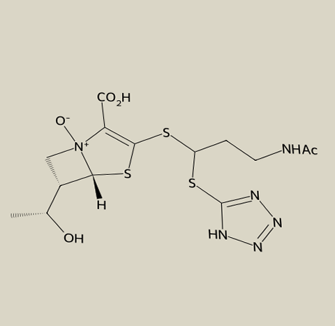 CC(=O)NCCC(SC1=C(C(=O)O)[N+]2([O-])C[C@@H]([C@@H](C)O)[C@H]2S1)Sc1nnn[nH]1